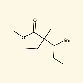 CC[CH]([Sn])C(C)(CC)C(=O)OC